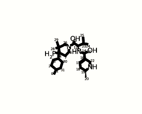 CC1CCC(C2(P)CCN(C(O)[C@H](NC(O)C3=CC[C@H](C)NC3)C(C)C)CC2(C)C)CC1